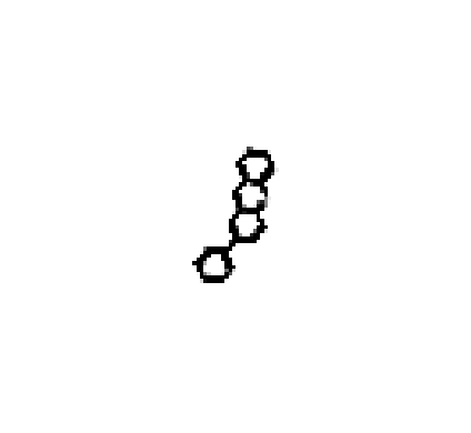 [c]1cccc(-c2ccc3nc4ccccc4cc3c2)c1